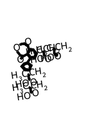 C=C(C)C(=O)O.C=C(C)C(=O)O.C=C(C)C(=O)O.C=C(C)C(=O)O.c1ccc(-c2cccc3c2C2OC2COCC2OC32)cc1